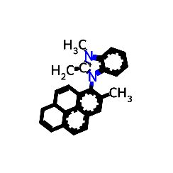 [CH2-][c+]1n(C)c2ccccc2n1-c1c(C)cc2ccc3c4c2c1C=CC4CC=C3